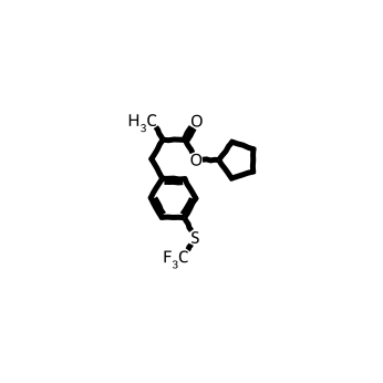 CC(Cc1ccc(SC(F)(F)F)cc1)C(=O)OC1CCCC1